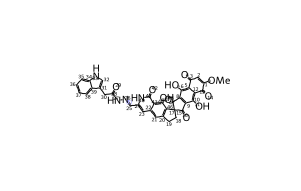 COC1=CC(=O)c2c(O)c3c(c(O)c2C1=O)C(=O)C1(CCc2cc4cc(/C=N/NC(=O)Cc5c[nH]c6ccccc56)[nH]c(=O)c4c(O)c21)C3=O